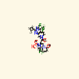 CC(C)(C)N(C(=O)O)[C@@H](CC(=O)N1CCc2c(nc(C3=CC=C3)nc2C(F)(F)F)C1)CN1CC(F)(F)CCC1=O